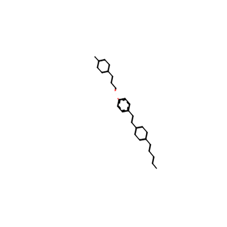 CCCCCC1CCC(CCc2ccc(OCCCC3CCC(C)CC3)cc2)CC1